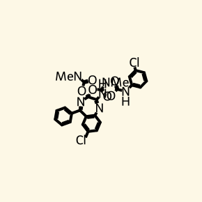 CNC(=O)OC1(OC(=O)NC)N=C(c2ccccc2)c2cc(Cl)ccc2N=C1NOC(=O)Nc1cccc(Cl)c1